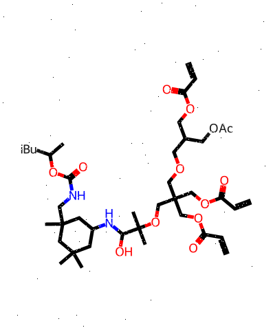 C=CC(=O)OCC(COCC(COC(=O)C=C)(COC(=O)C=C)COC(C)(C)C(O)NC1CC(C)(C)CC(C)(CNC(=O)OC(C)C(C)CC)C1)COC(C)=O